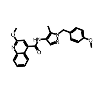 COc1ccc(Cn2ncc(NC(=O)c3cc(OC)nc4ccccc34)c2C)cc1